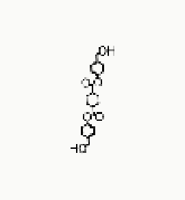 O=C(Oc1ccc(CO)cc1)C1CCC(C(=O)Oc2ccc(CO)cc2)CC1